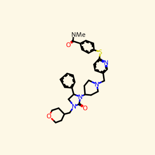 CNC(=O)c1ccc(Sc2ccc(CN3CCC(N4C(=O)N(CC5CCOCC5)CC4c4ccccc4)CC3)cn2)cc1